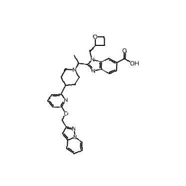 CC(c1nc2ccc(C(=O)O)cc2n1C[C@@H]1CCO1)N1CCC(c2cccc(OCc3cc4ccccn4n3)n2)CC1